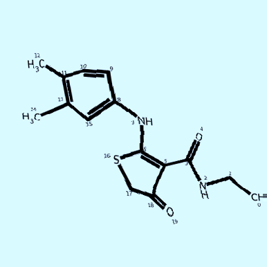 CCNC(=O)C1=C(Nc2ccc(C)c(C)c2)SCC1=O